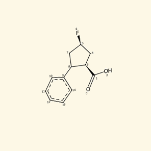 O=C(O)[C@@H]1C[C@H](F)CC1c1ccccc1